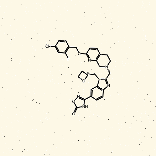 O=c1[nH]c(-c2ccc3nc(CN4CCc5ccc(OCc6ccc(Cl)cc6F)nc5C4)n(C[C@@H]4CCO4)c3c2)no1